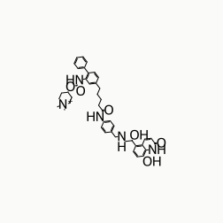 C[N+]1(C)CCC(OC(=O)Nc2cc(CCCCC(=O)Nc3ccc(CNC[C@@H](O)c4ccc(O)c5[nH]c(=O)ccc45)cc3)ccc2-c2ccccc2)CC1